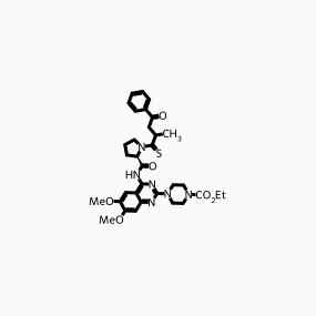 CCOC(=O)N1CCN(c2nc(NC(=O)[C@H]3CCCN3C(=S)C(C)CC(=O)c3ccccc3)c3cc(OC)c(OC)cc3n2)CC1